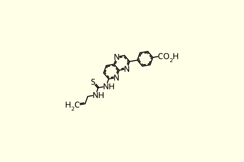 C=CCNC(=S)Nc1ccc2ncc(-c3ccc(C(=O)O)cc3)nc2n1